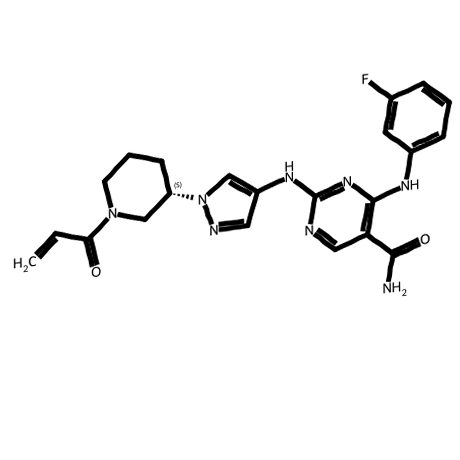 C=CC(=O)N1CCC[C@H](n2cc(Nc3ncc(C(N)=O)c(Nc4cccc(F)c4)n3)cn2)C1